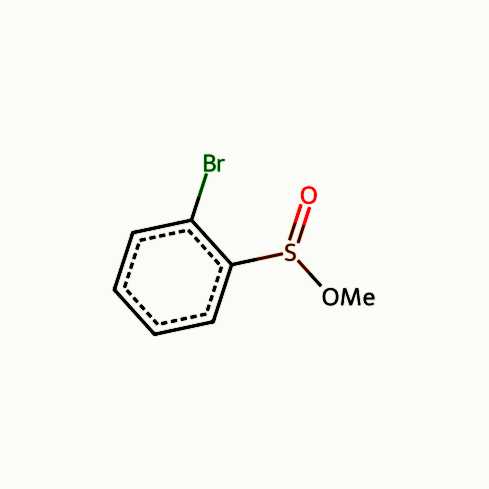 COS(=O)c1ccccc1Br